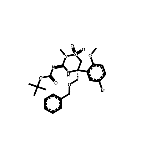 COc1ccc(Br)cc1[C@]1(COCc2ccccc2)CS(=O)(=O)N(C)/C(=N/C(=O)OC(C)(C)C)N1